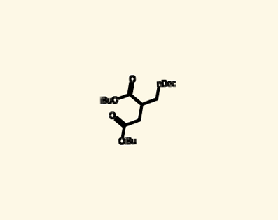 CCCCCCCCCCCC(CC(=O)OCC(C)C)C(=O)OCC(C)C